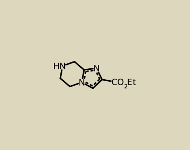 CCOC(=O)c1cn2c(n1)CNCC2